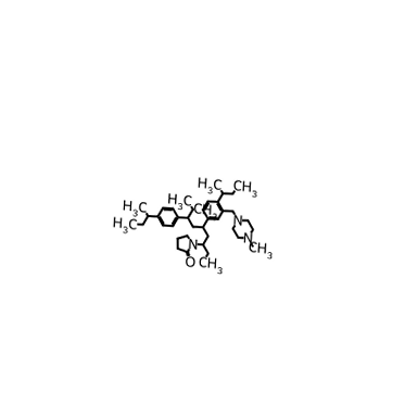 CCC(C)c1ccc(C(CC(CC(CC)N2CCCC2=O)c2ccc(C(C)CC)c(CN3CCN(C)CC3)c2)C(C)C)cc1